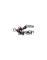 COc1ccc(C=NNC(=O)c2cc(Cl)ccc2NC(=O)c2cccc(CSCC(O)CO)c2)cc1